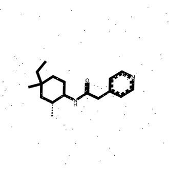 CCC1(C)CCC(NC(=O)Cc2ccncc2)[C@H](C)C1